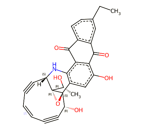 CCc1ccc2c(c1)C(=O)c1c(O)cc3c(c1C2=O)N[C@H]1C#C/C=C\C#C[C@@H](O)[C@@]32O[C@@]12[C@@H](C)O